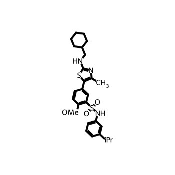 COc1ccc(-c2sc(NCC3CCCCC3)nc2C)cc1S(=O)(=O)Nc1cccc(C(C)C)c1